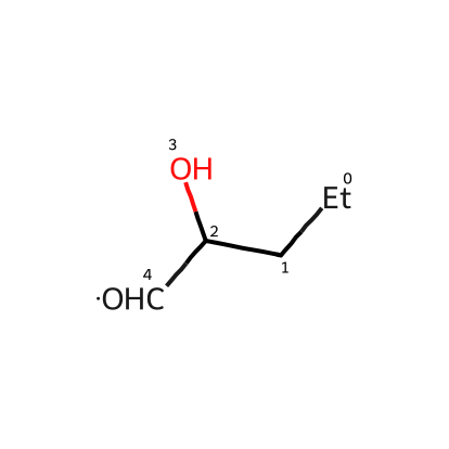 CCCC(O)[C]=O